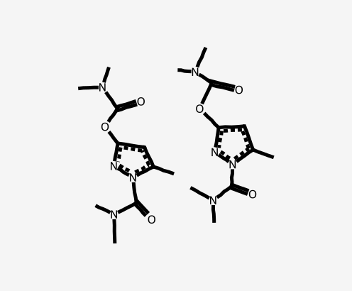 Cc1cc(OC(=O)N(C)C)nn1C(=O)N(C)C.Cc1cc(OC(=O)N(C)C)nn1C(=O)N(C)C